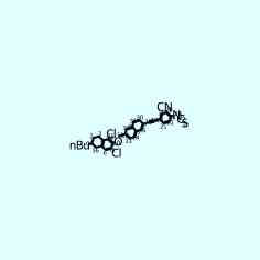 CCCCC1CCc2c(cc(Cl)c(OCc3ccc4cc(C#Cc5ccc(N=C=S)c(C#N)c5)ccc4c3)c2Cl)C1